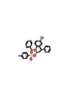 Cc1ccc(S(=O)(=O)OCCC(c2ccccc2)c2cc(Br)ccc2OCc2ccccc2)cc1